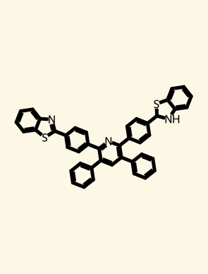 c1ccc(-c2cc(-c3ccccc3)c(-c3ccc(C4Nc5ccccc5S4)cc3)nc2-c2ccc(-c3nc4ccccc4s3)cc2)cc1